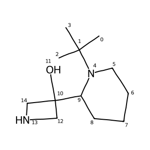 CC(C)(C)N1CCCCC1C1(O)CNC1